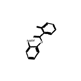 C=C(Oc1ccccc1NC)c1ccccc1C